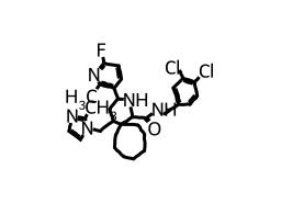 Cc1nc(F)ccc1C1CC(Cn2ccnc2C)C2(CCCCCCC2)C(C(=O)NCc2ccc(Cl)c(Cl)c2)N1